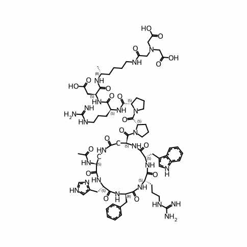 CC(=O)N[C@H]1CNC(=O)C[C@@H](C(=O)N2CCC[C@H]2C(=O)N2CCC[C@H]2C(=O)N[C@@H](CCCNC(=N)N)C(=O)N[C@@H](CC(=O)O)C(=O)N[C@H](C)CCCCNC(=O)CN(CC(=O)O)CC(=O)O)NC(=O)[C@H](Cc2c[nH]c3ccccc23)NC(=O)[C@H](CCCNC(=N)N)NC(=O)[C@@H](Cc2ccccc2)NC(=O)[C@H](Cc2c[nH]cn2)NC1=O